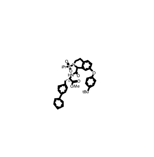 COC(=O)[C@H](Cc1ccc(-c2ccccc2)cc1)NC(=O)C1c2cc(Oc3ccc(C(C)(C)C)cc3)ccc2CCN1S(=O)(=O)C(C)C